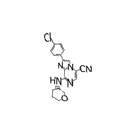 N#Cc1cnc(N[C@H]2CCCOC2)c2nc(-c3ccc(Cl)cc3)cn12